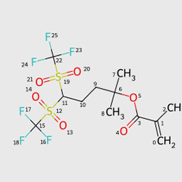 C=C(C)C(=O)OC(C)(C)CCC(S(=O)(=O)C(F)(F)F)S(=O)(=O)C(F)(F)F